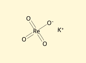 [K+].[O]=[Re](=[O])(=[O])[O-]